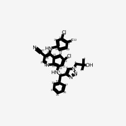 CC(C)(O)Cn1cc([C@@H](Nc2cc(Cl)cc3c(Nc4ccc(F)c(Cl)c4)c(C#N)cnc23)c2ccccc2)nn1